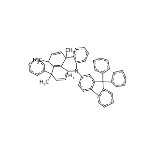 CC1C=CC2(C)C3=C1C(C)(c1ccccc1)C=CC3(C)N(c1ccc3c(c1)C(c1ccccc1)(c1ccccc1)c1ccccc1-3)c1ccccc12